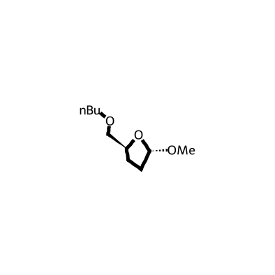 CCCCOC[C@@H]1CC[C@@H](OC)O1